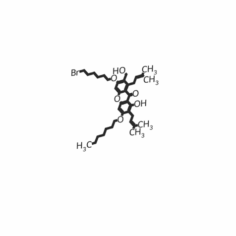 CCCCCCCOc1cc2oc3cc(OCCCCCCBr)c(CO)c(CC=C(C)C)c3c(=O)c2c(O)c1CC=C(C)C